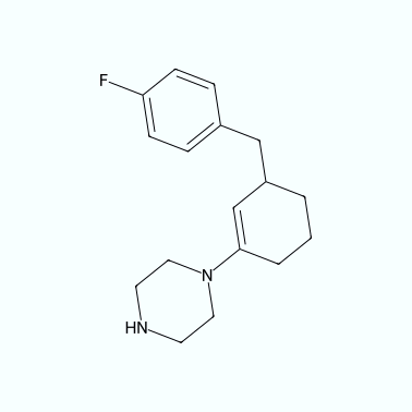 Fc1ccc(CC2C=C(N3CCNCC3)CCC2)cc1